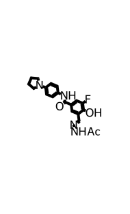 CC(=O)NN=Cc1cc(C(=O)Nc2ccc(N3CCCC3)cc2)cc(F)c1O